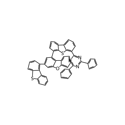 c1ccc(-c2nc(-c3ccccc3)nc(-c3cccc4c3sc3c(-c5cc(-c6cccc7sc8ccccc8c67)cc6oc7ccccc7c56)cccc34)n2)cc1